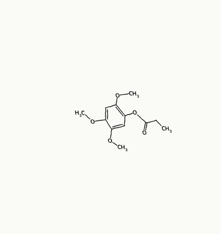 CCC(=O)Oc1cc(OC)c(OC)cc1OC